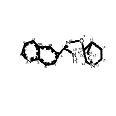 c1cnc2ccc(C3=NO[C@@]4(CN5CCC4CC5)N3)cc2c1